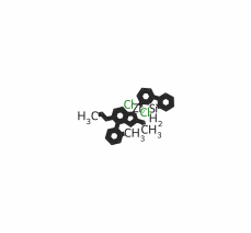 CCCc1ccc2c(c1-c1ccccc1C)C=C(CC)[CH]2[Zr]([Cl])([Cl])[c]1cccc2c1[SiH2]c1ccccc1-2